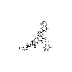 O=C(/C=C(\C(=O)c1ccc(C(=O)NC[C@@H](O)C(=O)O)cc1)c1ccc(-c2ccccc2)cc1)c1cccc(OC(F)(F)F)c1